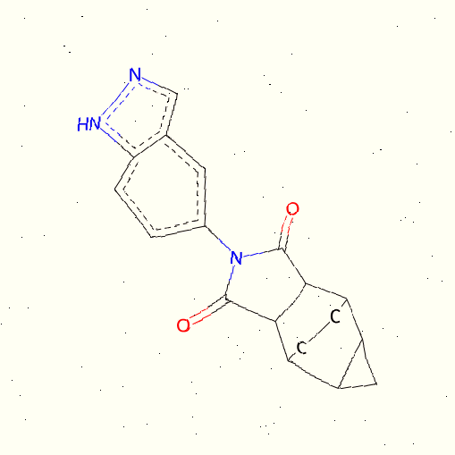 O=C1C2C3CCC(C4CC43)C2C(=O)N1c1ccc2[nH]ncc2c1